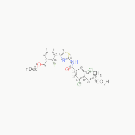 CCCCCCCCCCOCc1cccc(-c2csc(NC(=O)c3cc(Cl)c(/C=C(\C)C(=O)O)c(Cl)c3)n2)c1F